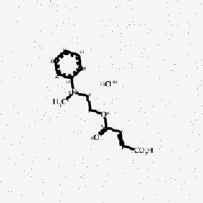 CN(CCOC(=O)C=CC(=O)O)c1ccccc1.Cl